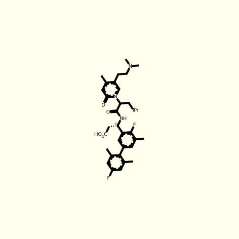 Cc1cc(=O)n(C(CC(C)C)C(=O)N[C@@H](CC(=O)O)c2cc(-c3c(C)cc(F)cc3C)cc(C)c2F)cc1CCN(C)C